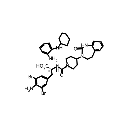 Nc1c(Br)cc(C[C@@H](NC(=O)N2CCC(N3CCc4ccccc4NC3=O)CC2)C(=O)O)cc1Br.Nc1ccccc1NC1CCCCC1